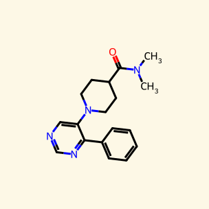 CN(C)C(=O)C1CCN(c2cncnc2-c2ccccc2)CC1